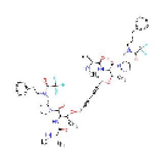 CN[C@@H](C)C(=O)NC(C(=O)N1CCCC1CN(CCc1ccccc1)C(=O)C(F)(F)F)C(C)OCC#CC#CCOC(C)C(NC(=O)[C@H](C)NC)C(=O)N1CCC[C@H]1CN(CCCc1ccccc1)C(=O)C(F)(F)F